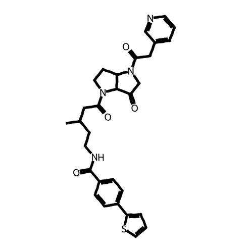 CC(CCNC(=O)c1ccc(-c2cccs2)cc1)CC(=O)N1CCC2C1C(=O)CN2C(=O)Cc1cccnc1